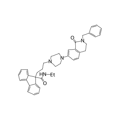 CCNC(=O)C1(CCCN2CCN(c3ccc4c(c3)C(=O)N(Cc3ccccc3)CC4)CC2)c2ccccc2-c2ccccc21